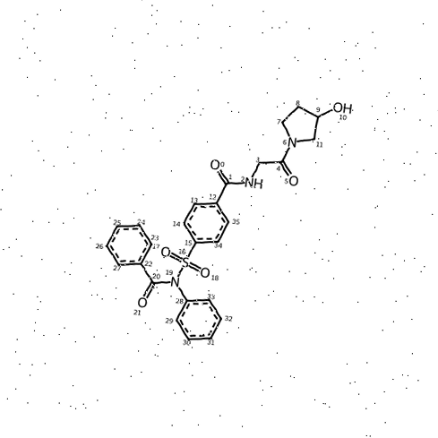 O=C(NCC(=O)N1CCC(O)C1)c1ccc(S(=O)(=O)N(C(=O)c2ccccc2)c2ccccc2)cc1